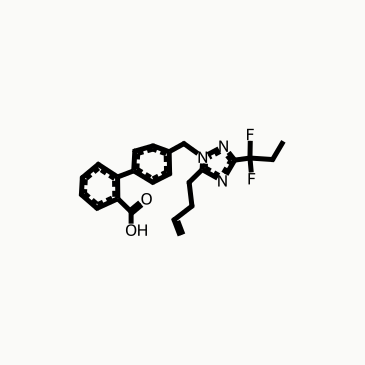 C=CCCc1nc(C(F)(F)CC)nn1Cc1ccc(-c2ccccc2C(=O)O)cc1